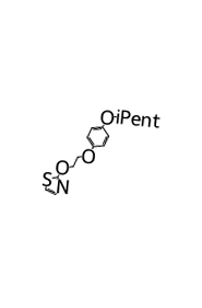 CCCC(C)Oc1ccc(OCCOc2nccs2)cc1